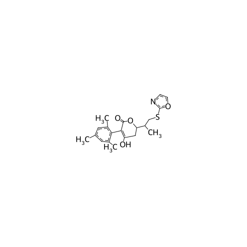 Cc1cc(C)c(C2=C(O)CC(C(C)CSc3ncco3)OC2=O)c(C)c1